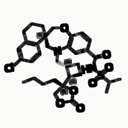 CCCC[C@]1([C@@H]2CC[C@H]2CN2C[C@@]3(CCCc4cc(Cl)ccc43)COc3ccc(C(=O)NS(=O)(=O)C(C)C)cc32)COC(=O)O1